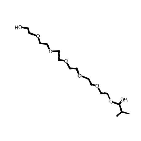 CC(C)C(O)OCCOCCOCCOCCOCCOCCO